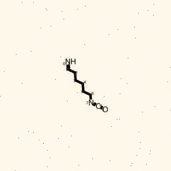 N=CCCCCCN=C=O